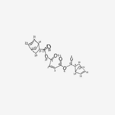 O=C(/C=C\C(=O)OC(=O)C1CC2C=CC1C2)OC(=O)C1CC2C=CC1C2